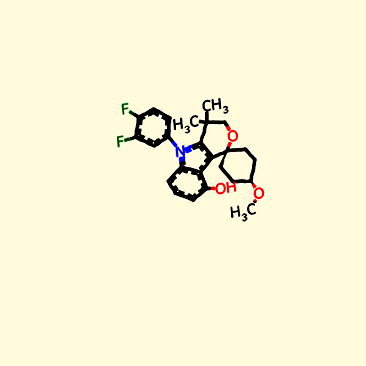 CO[C@H]1CC[C@]2(CC1)OCC(C)(C)c1c2c2c(O)cccc2n1-c1ccc(F)c(F)c1